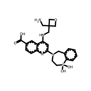 NCC1(CNc2cc(N3CCS(O)(O)c4ccccc4C3)nc3ccc(C(=O)O)cc23)COC1